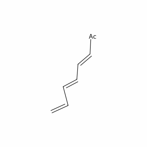 C=CC=CC=CC(C)=O